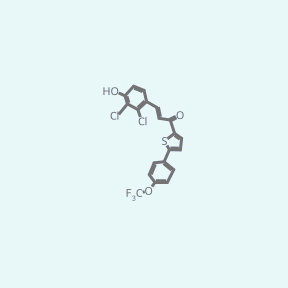 O=C(/C=C/c1ccc(O)c(Cl)c1Cl)c1ccc(-c2ccc(OC(F)(F)F)cc2)s1